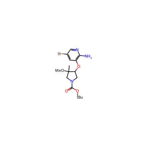 COC1(C)CN(C(=O)OC(C)(C)C)CC1Oc1cc(Br)cnc1N